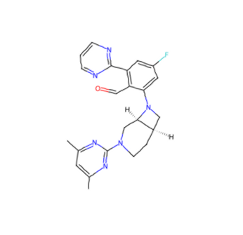 Cc1cc(C)nc(N2CC[C@@H]3CN(c4cc(F)cc(-c5ncccn5)c4C=O)[C@@H]3C2)n1